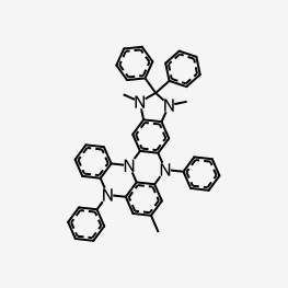 Cc1cc2c3c(c1)N(c1ccccc1)c1cc4c(cc1N3c1ccccc1N2c1ccccc1)N(C)C(c1ccccc1)(c1ccccc1)N4C